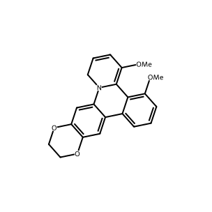 COC1=C2c3c(OC)cccc3-c3cc4c(cc3N2CC=C1)OCCO4